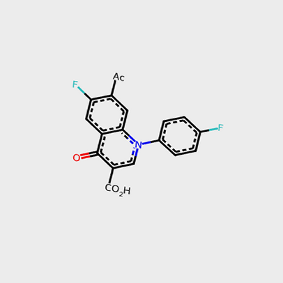 CC(=O)c1cc2c(cc1F)c(=O)c(C(=O)O)cn2-c1ccc(F)cc1